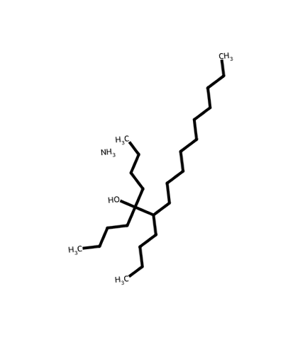 CCCCCCCCCCC(CCCC)C(O)(CCCC)CCCC.N